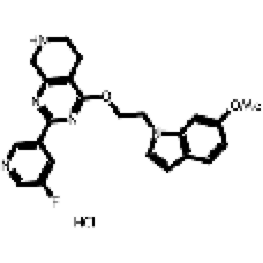 COc1ccc2ccn(CCOc3nc(-c4cncc(F)c4)nc4c3CCNC4)c2c1.Cl